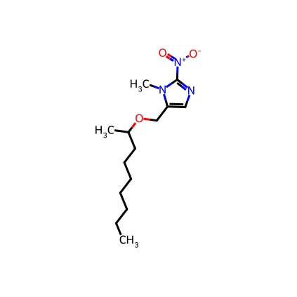 CCCCCCCC(C)OCc1cnc([N+](=O)[O-])n1C